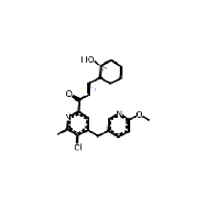 COc1ccc(Cc2cc(C(=O)/C=C/C3CCCC[C@@H]3O)nc(C)c2Cl)cn1